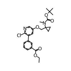 CCOC(=O)c1cccc(-c2cc(OCC3(N(C)C(=O)OC(C)(C)C)CC3)cnc2Cl)c1